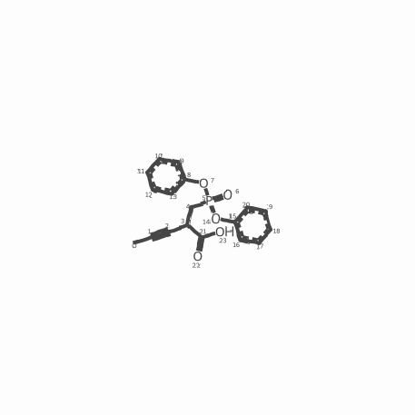 CC#CC(CP(=O)(Oc1ccccc1)Oc1ccccc1)C(=O)O